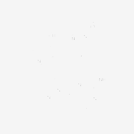 Cc1nn(-c2ccnc(Nc3ccc4c(cnn4C(C)C)c3)n2)cc1CN1CC(O)C1